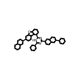 c1ccc(C2=NC(c3ccc4cc(-c5ccccc5)ccc4c3)=NC(c3cccc4oc5cc(-c6ccc7ccccc7c6)ccc5c34)N2)cc1